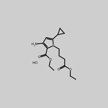 CCOC(=O)CCCn1c(C2CC2)cc(N)c1C(=O)OCC.Cl